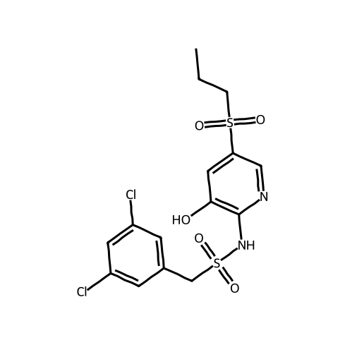 CCCS(=O)(=O)c1cnc(NS(=O)(=O)Cc2cc(Cl)cc(Cl)c2)c(O)c1